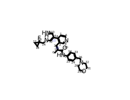 C/C(=C/c1cnccc1/C(C=N)=C/NCC1(F)CC1)C(=O)Nc1ccc(CN2CCOCC2)cc1